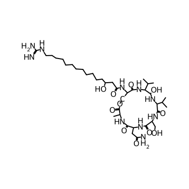 CC1NC(=O)C(CC(N)=O)NC(=O)C(CO)NC(=O)C(C(C)C)NC(O)C(C(C)C)NC(=O)C(NC(=O)CC(O)CCCCCCCCCCCCNC(=N)N)COC1=O